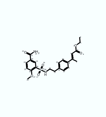 CCOC(=O)C=C(C)c1ccc(CCNS(=O)(=O)c2cc(C(N)=O)ccc2OC)cc1